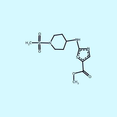 COC(=O)c1cnc(NC2CCN(S(C)(=O)=O)CC2)s1